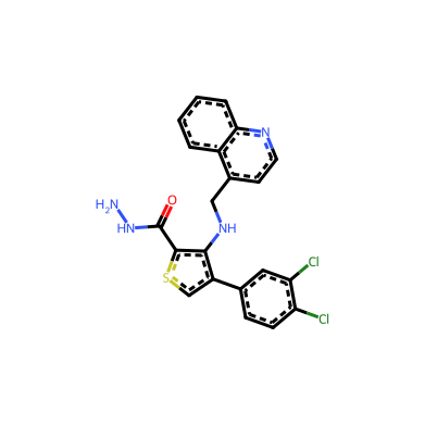 NNC(=O)c1scc(-c2ccc(Cl)c(Cl)c2)c1NCc1ccnc2ccccc12